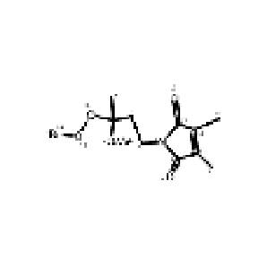 COC(C)(CCN1C(=O)C(C)=C(C)C1=O)OOC(C)(C)C